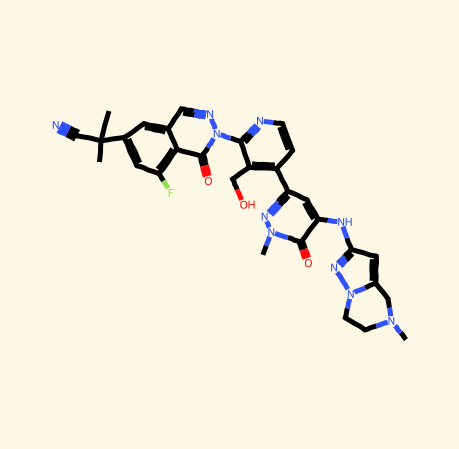 CN1CCn2nc(Nc3cc(-c4ccnc(-n5ncc6cc(C(C)(C)C#N)cc(F)c6c5=O)c4CO)nn(C)c3=O)cc2C1